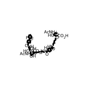 CC(=O)NC1[C@H](C)O[C@@](OCCCSCCNC(=O)c2ccc(C(=O)NCCSCCCO[C@]3(C(=O)O)CC(O)[C@@H](NC(C)=O)[C@H](C(O)[C@H](O)CNC(=O)c4ccc(-c5c(F)cccc5F)cc4)O3)cc2)(C(=O)O)C[C@@H]1O